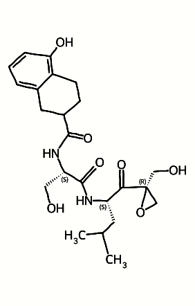 CC(C)C[C@H](NC(=O)[C@H](CO)NC(=O)C1CCc2c(O)cccc2C1)C(=O)[C@@]1(CO)CO1